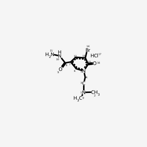 CN(C)CCn1cc(C(=O)NN)cc(Br)c1=O.Cl